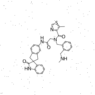 CNCc1ccccc1CN(CC(=O)Nc1ccc2c(c1)CC1(C2)C(=O)Nc2ccccc21)C(=O)c1ncsc1C